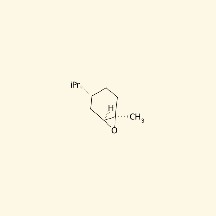 CC(C)[C@@H]1CC[C@@]2(C)O[C@H]2C1